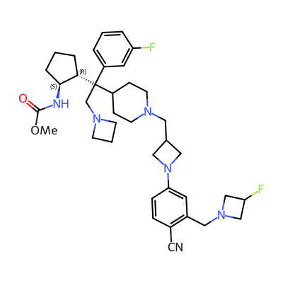 COC(=O)N[C@H]1CCC[C@@H]1C(CN1CCC1)(c1cccc(F)c1)C1CCN(CC2CN(c3ccc(C#N)c(CN4CC(F)C4)c3)C2)CC1